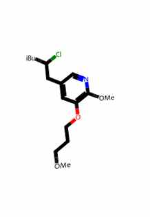 CCC(C)C(Cl)Cc1cnc(OC)c(OCCCOC)c1